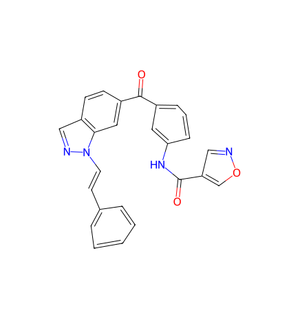 O=C(Nc1cccc(C(=O)c2ccc3cnn(C=Cc4ccccc4)c3c2)c1)c1cnoc1